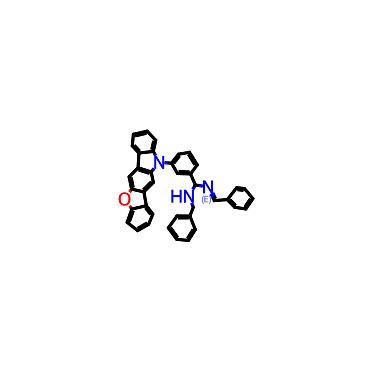 C(=N\C(NCc1ccccc1)c1cccc(-n2c3ccccc3c3cc4oc5ccccc5c4cc32)c1)/c1ccccc1